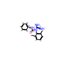 Cc1cccc(C)c1N(C(=N)N)C(=O)Nc1ccccc1